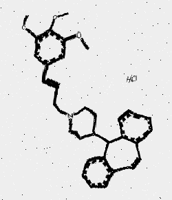 COc1cc(/C=C/CN2CCC(C3c4ccccc4C=Cc4ccccc43)CC2)cc(OC)c1OC.Cl